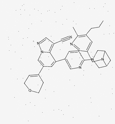 CCCc1cc(CN2C3CC2CN(c2ccc(-c4cc(C5=CCOCC5)cn5ncc(C#N)c45)cn2)C3)cnc1C